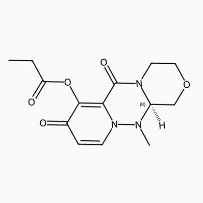 CCC(=O)Oc1c2n(ccc1=O)N(C)[C@@H]1COCCN1C2=O